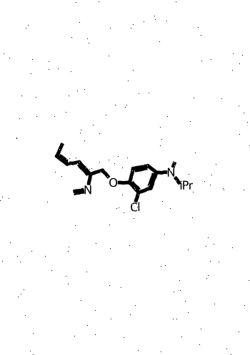 C=N/C(=C\C=C/C)COc1ccc(N(C)C(C)C)cc1Cl